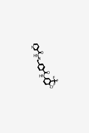 O=C(NN=Cc1ccc(C(=O)Nc2ccc(Cl)c(C(F)(F)F)c2)cc1)c1cccnc1